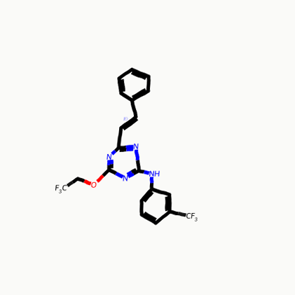 FC(F)(F)COc1nc(/C=C/c2ccccc2)nc(Nc2cccc(C(F)(F)F)c2)n1